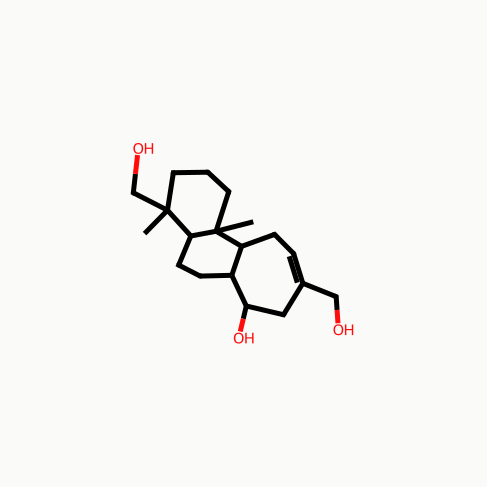 CC1(CO)CCCC2(C)C3CC=C(CO)CC(O)C3CCC12